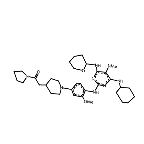 CNc1c(NC2CCCCC2)nc(Nc2ccc(N3CCC(CC(=O)N4CCCC4)CC3)cc2OC)nc1NC1CCCCO1